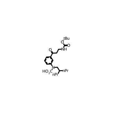 CCCC(CCC)CN(C(=O)O)c1cccc(C(=O)CCNC(=O)OC(C)(C)C)c1